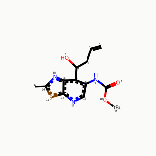 C=CCC(O)c1c(NC(=O)OC(C)(C)C)cnc2sc(C)nc12